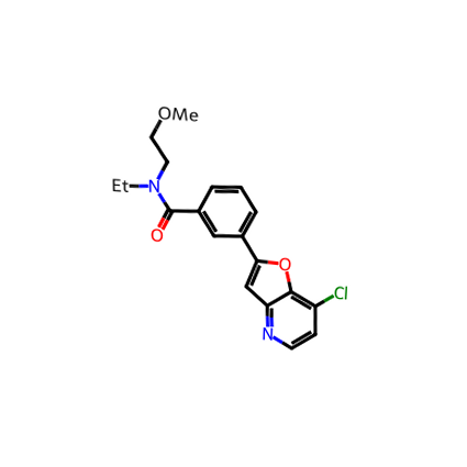 CCN(CCOC)C(=O)c1cccc(-c2cc3nccc(Cl)c3o2)c1